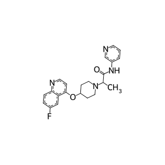 CC(C(=O)Nc1cccnc1)N1CCC(Oc2ccnc3ccc(F)cc23)CC1